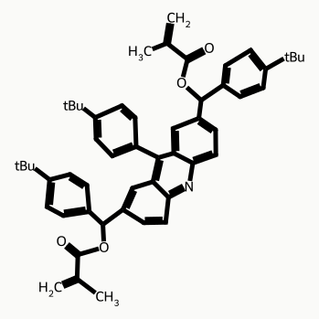 C=C(C)C(=O)OC(c1ccc(C(C)(C)C)cc1)c1ccc2nc3ccc(C(OC(=O)C(=C)C)c4ccc(C(C)(C)C)cc4)cc3c(-c3ccc(C(C)(C)C)cc3)c2c1